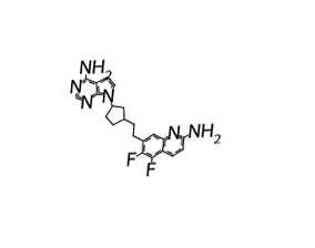 Nc1ccc2c(F)c(F)c(CCC3CCC(n4ccc5c(N)ncnc54)C3)cc2n1